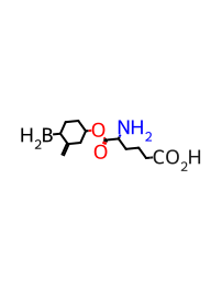 BC1CCC(OC(=O)C(N)CCCC(=O)O)CC1=C